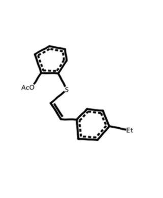 CCc1ccc(/C=C\Sc2ccccc2OC(C)=O)cc1